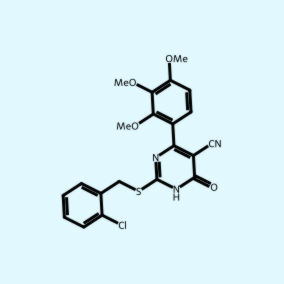 COc1ccc(-c2nc(SCc3ccccc3Cl)[nH]c(=O)c2C#N)c(OC)c1OC